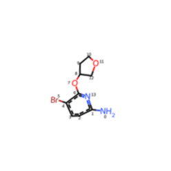 Nc1ccc(Br)c(OC2CCOC2)n1